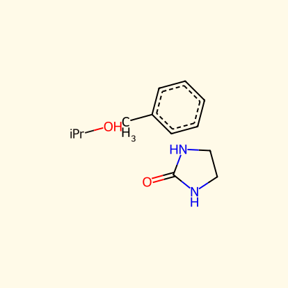 CC(C)O.Cc1ccccc1.O=C1NCCN1